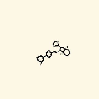 Fc1cccc(-c2ccc(C=C[C@H]3[C@@H]4CCCC[C@@H]4C[C@@H]3C3=NCCO3)nc2)c1